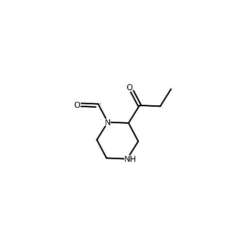 CCC(=O)C1CNCCN1[C]=O